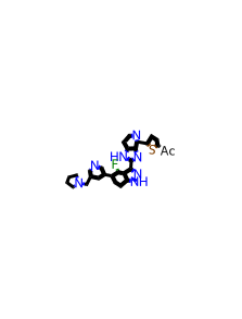 CC(=O)c1ccc(-c2nccc3[nH]c(-c4n[nH]c5ccc(-c6cncc(CN7CCCC7)c6)c(F)c45)nc23)s1